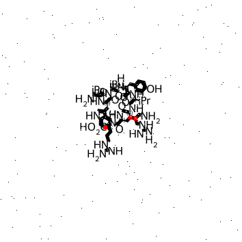 CC[C@H](C)[C@H](NC(=O)[C@H](Cc1c[nH]c2ccccc12)NC(=O)[C@@H](N)C(C)C)C(=O)N[C@@H](Cc1ccc(O)cc1)C(=O)N[C@H](C(=O)N[C@@H](CCCNC(=N)N)C(=O)N[C@@H](CCCCN)C(=O)N[C@@H](CCCNC(=N)N)C(=O)O)C(C)C